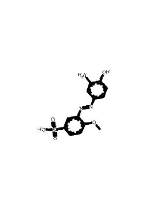 COc1ccc(S(=O)(=O)O)cc1N=Nc1ccc(O)c(N)c1